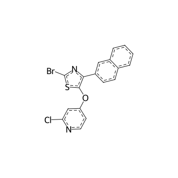 Clc1cc(Oc2sc(Br)nc2-c2ccc3ccccc3c2)ccn1